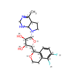 CC1=NCNC2C1CCN2[C@@H]1O[C@H]([C@@H]2OCCc3c2ccc(F)c3F)[C@@H](O)[C@H]1O